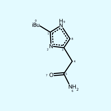 CCC(C)c1nc(CC(N)=O)c[nH]1